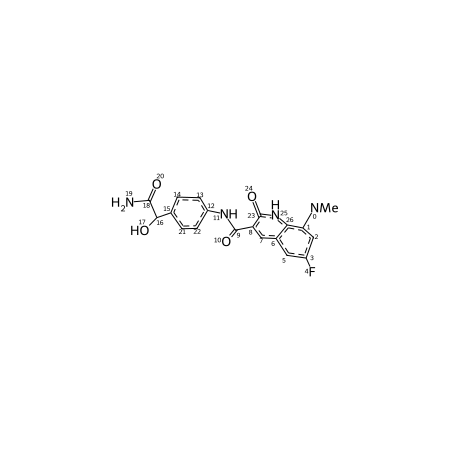 CNc1cc(F)cc2cc(C(=O)Nc3ccc(C(O)C(N)=O)cc3)c(=O)[nH]c12